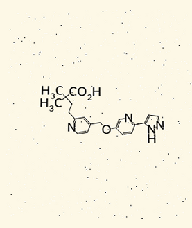 CC(C)(CCc1cc(COc2ccc(-c3ccn[nH]3)nc2)ccn1)C(=O)O